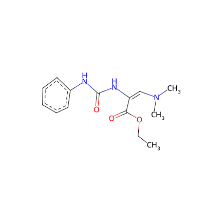 CCOC(=O)C(=CN(C)C)NC(=O)Nc1ccccc1